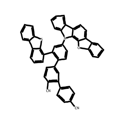 N#Cc1ccc(-c2cc(-c3ccc(-n4c5ccccc5c5ccc6c7ccccc7oc6c54)cc3-c3cccc4c3sc3ccccc34)ccc2C#N)cc1